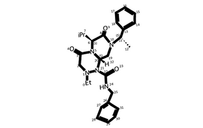 CCN1CC(=O)N2[C@@H](C(C)C)C(=O)N([C@@H](C)c3ccccc3)C[C@@H]2N1C(=O)NCc1ccccc1